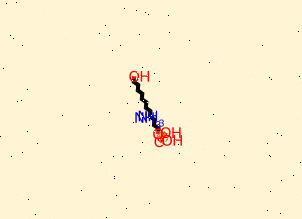 N.N.O=P(O)(O)OCCCCCCCCCCCCO